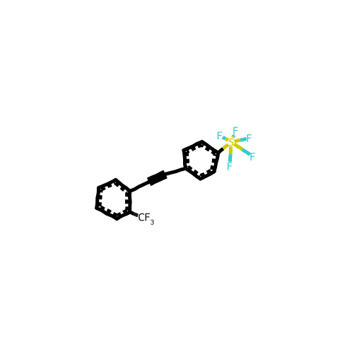 FC(F)(F)c1ccccc1C#Cc1ccc(S(F)(F)(F)(F)F)cc1